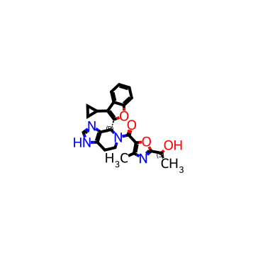 Cc1nc([C@H](C)O)oc1C(=O)N1CCc2[nH]cnc2[C@@H]1c1oc2ccccc2c1C1CC1